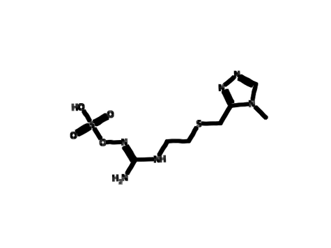 Cn1cnnc1CSCCNC(N)=NOS(=O)(=O)O